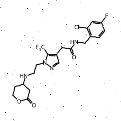 O=C(Cc1cnn(CCNC2CCOC(=O)C2)c1C(F)(F)F)NCc1ccc(F)cc1Cl